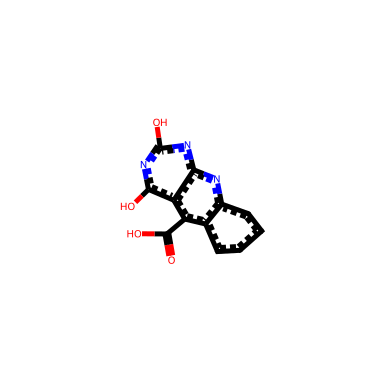 O=C(O)c1c2ccccc2nc2nc(O)nc(O)c12